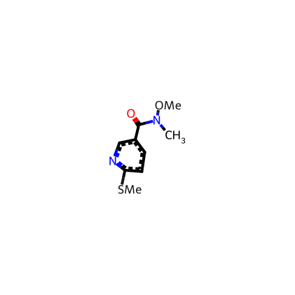 CON(C)C(=O)c1ccc(SC)nc1